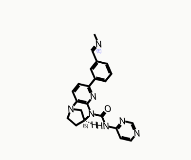 C/N=C/c1cccc(-c2ccc3c(n2)N(C(=O)Nc2ccncn2)[C@H]2CCN3C2)c1